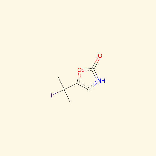 CC(C)(I)c1c[nH]c(=O)o1